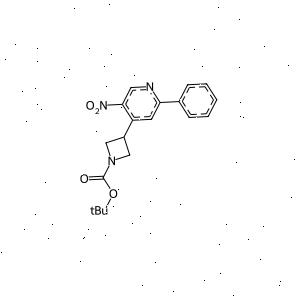 CC(C)(C)OC(=O)N1CC(c2cc(-c3ccccc3)ncc2[N+](=O)[O-])C1